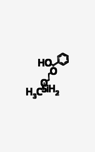 C[SiH2]OCCOC(O)c1ccccc1